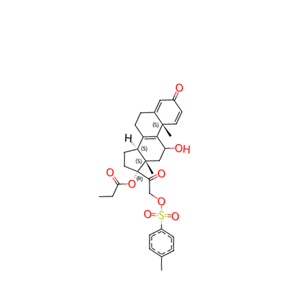 CCC(=O)O[C@]1(C(=O)COS(=O)(=O)c2ccc(C)cc2)CC[C@H]2C3=C(C(O)C[C@@]21C)[C@@]1(C)C=CC(=O)C=C1CC3